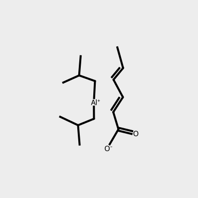 CC(C)[CH2][Al+][CH2]C(C)C.CC=CC=CC(=O)[O-]